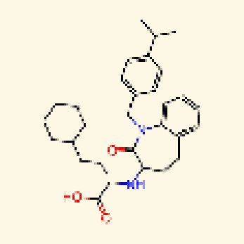 CC(C)c1ccc(CN2C(=O)C(N[C@@H](CCC3CCCCC3)C(=O)O)CCc3ccccc32)cc1